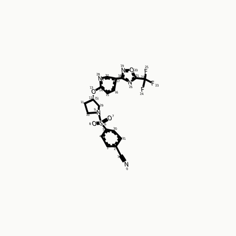 N#Cc1ccc(S(=O)(=O)N2CC[C@H](Oc3ccc(-c4noc(C(F)(F)F)n4)cn3)C2)cc1